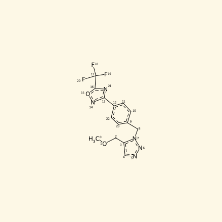 COCc1cnnn1Cc1ccc(-c2noc(C(F)(F)F)n2)cc1